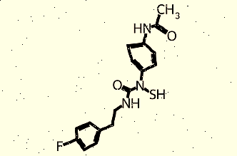 CC(=O)Nc1ccc(N(S)C(=O)NCCc2ccc(F)cc2)cc1